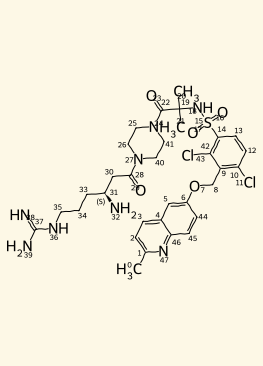 Cc1ccc2cc(OCc3c(Cl)ccc(S(=O)(=O)NC(C)(C)C(=O)N4CCN(C(=O)C[C@@H](N)CCCNC(=N)N)CC4)c3Cl)ccc2n1